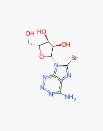 Nc1nnnc2c1nc(Br)n2[C@@H]1O[C@H](CO)[C@@H](O)[C@H]1O